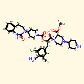 CCCCOC(=O)[C@@H]1CN(C2CCNCC2)CCN1C(=O)[C@@H](Cc1cc(Cl)c(N)c(C(F)(F)F)c1)OC(=O)N1CCC(N2CCc3ccccc3NC2=O)CC1